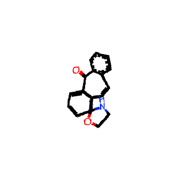 O=C1C2=CC=CC3(NCCO3)C2C=Cc2ccccc21